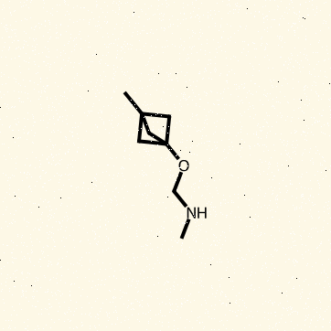 CNCOC12CC(C)(C1)C2